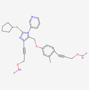 Cc1cc(OCc2c(C#CCOPI)nc(SC3CCCC3)n2-c2cccnc2)ccc1C#CCOPI